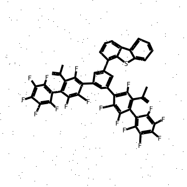 C=C(C)c1c(F)c(-c2cc(-c3c(F)c(F)c(-c4c(F)c(F)c(F)c(F)c4F)c(C(=C)C)c3F)cc(-c3cccc4c3sc3ccccc34)c2)c(F)c(F)c1-c1c(F)c(F)c(F)c(F)c1F